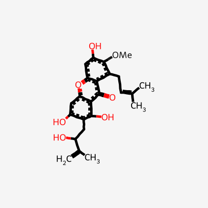 C=C(C)C(O)Cc1c(O)cc2oc3cc(O)c(OC)c(CC=C(C)C)c3c(=O)c2c1O